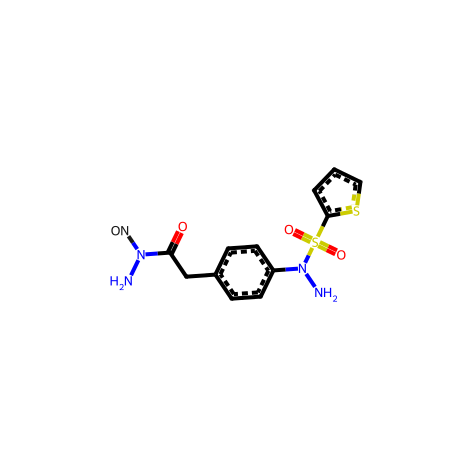 NN(N=O)C(=O)Cc1ccc(N(N)S(=O)(=O)c2cccs2)cc1